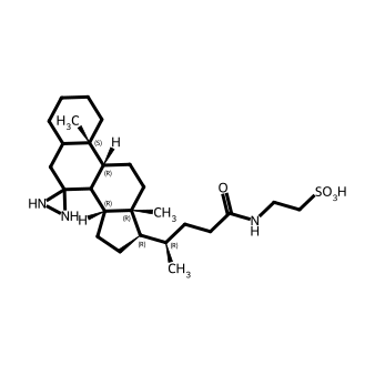 C[C@H](CCC(=O)NCCS(=O)(=O)O)[C@H]1CC[C@@H]2C3[C@@H](CC[C@@]21C)[C@@]1(C)CCCCC1CC31NN1